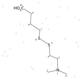 CN(C)CCSSCCCC(=O)O